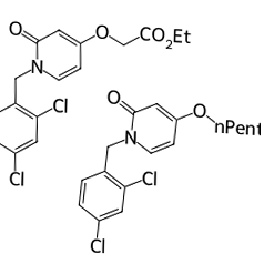 CCCCCOc1ccn(Cc2ccc(Cl)cc2Cl)c(=O)c1.CCOC(=O)COc1ccn(Cc2ccc(Cl)cc2Cl)c(=O)c1